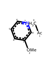 CC(C)=O.COc1cccnc1